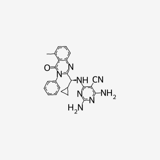 Cc1cccc2nc([C@@H](Nc3nc(N)nc(N)c3C#N)C3CC3)n(-c3ccccc3)c(=O)c12